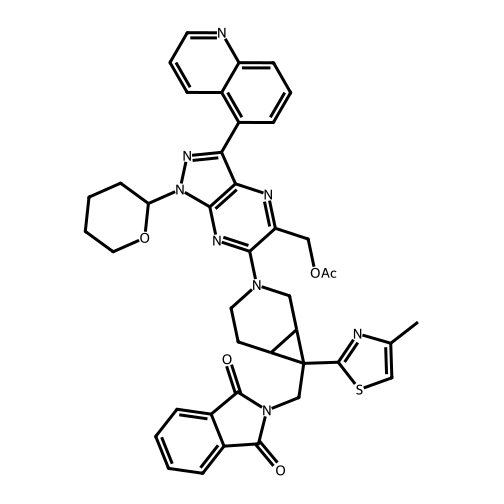 CC(=O)OCc1nc2c(-c3cccc4ncccc34)nn(C3CCCCO3)c2nc1N1CCC2C(C1)C2(CN1C(=O)c2ccccc2C1=O)c1nc(C)cs1